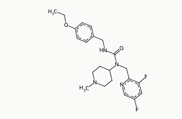 CCOc1ccc(CNC(=O)N(Cc2ncc(F)cc2F)C2CCN(C)CC2)cc1